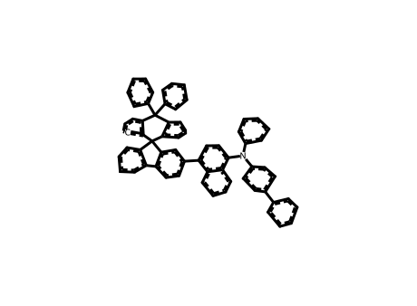 c1ccc(-c2ccc(N(c3ccccc3)c3ccc(-c4ccc5c(c4)C4(c6ccccc6-5)c5ccccc5C(c5ccccc5)(c5ccccc5)c5ccccc54)c4ccccc34)cc2)cc1